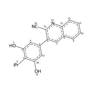 CC(C)c1c(O)cc(-c2cc3ccccc3nc2C#N)cc1O